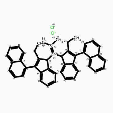 CCC1=C(c2cccc3ccccc23)c2ccccc2[CH]1[Zr+2]([CH]1C(CC)=C(c2cccc3ccccc23)c2ccccc21)=[Si](C)C.[Cl-].[Cl-]